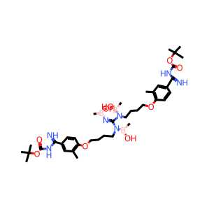 CB(O)N=C(N(CCCCOc1ccc(C(=N)NC(=O)OC(C)(C)C)cc1C)B(C)O)N(CCCCOc1ccc(C(=N)NC(=O)OC(C)(C)C)cc1C)B(C)O